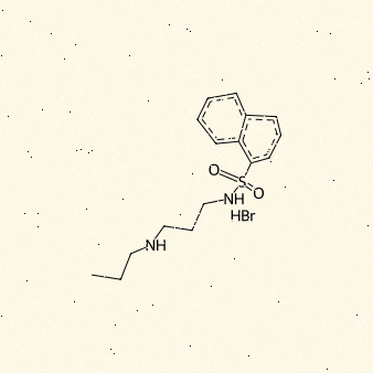 Br.CCCNCCCNS(=O)(=O)c1cccc2ccccc12